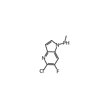 CPn1ccc2nc(Cl)c(F)cc21